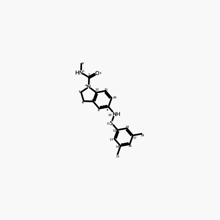 CNC(=O)N1CCc2cc(NSc3cc(C)cc(C)c3)ccc21